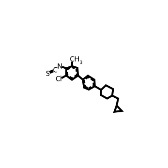 Cc1cc(-c2ccc(C3CCC(CC4CC4)CC3)cc2)cc(Cl)c1N=C=S